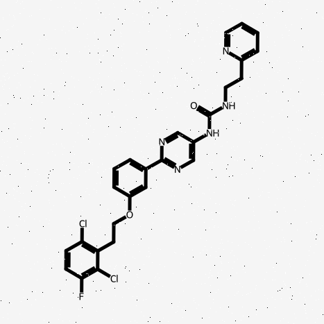 O=C(NCCc1ccccn1)Nc1cnc(-c2cccc(OCCc3c(Cl)ccc(F)c3Cl)c2)nc1